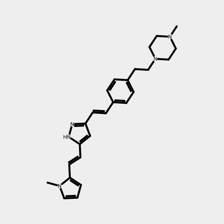 CN1CCN(CCc2ccc(C=Cc3cc(/C=C/c4cccn4C)[nH]n3)cc2)CC1